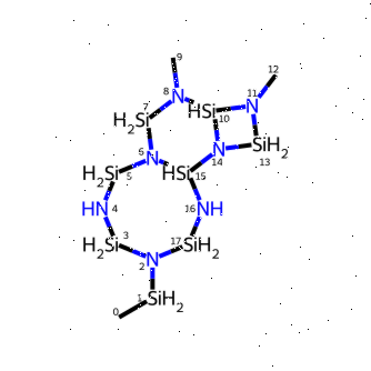 C[SiH2]N1[SiH2]N[SiH2]N2[SiH2]N(C)[SiH]3N(C)[SiH2]N3[SiH]2N[SiH2]1